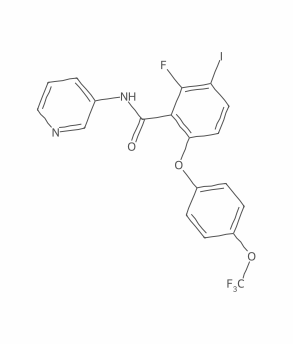 O=C(Nc1cccnc1)c1c(Oc2ccc(OC(F)(F)F)cc2)ccc(I)c1F